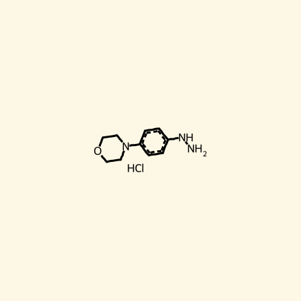 Cl.NNc1ccc(N2CCOCC2)cc1